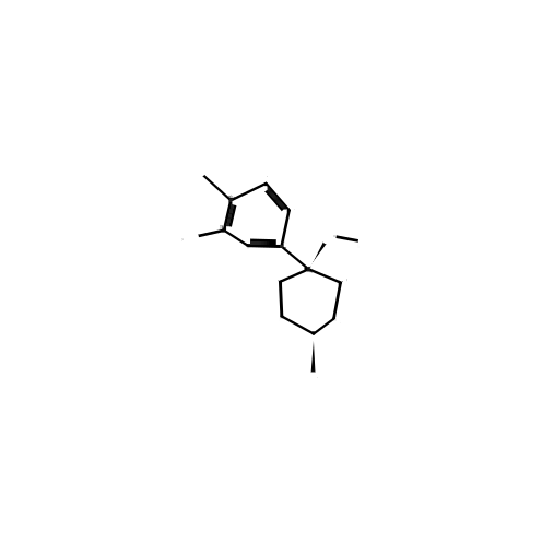 CO[C@]1(c2ccc(F)c(F)c2)CC[C@H](C)CC1